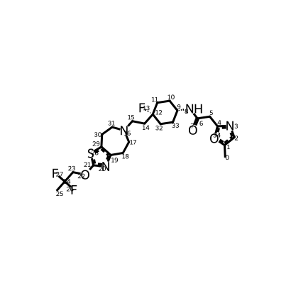 Cc1cnc(CC(=O)N[C@H]2CC[C@](F)(CCN3CCc4nc(OCC(C)(F)F)sc4CC3)CC2)o1